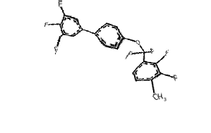 Cc1ccc(C(F)(F)Oc2ccc(-c3cc(F)c(F)c(F)c3)cc2)c(F)c1F